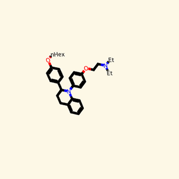 CCCCCCOc1ccc(C2CCc3ccccc3N2c2ccc(OCCN(CC)CC)cc2)cc1